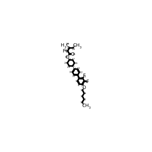 CCCCCCOc1ccc(-c2ccc([C@H]3CC[C@H](OC(=O)[C@@H](F)[C@@H](C)CC)CC3)cc2)c(F)c1F